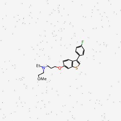 CC[N+](CCCOc1ccc2c(-c3ccc(F)cc3)csc2c1)CCOC